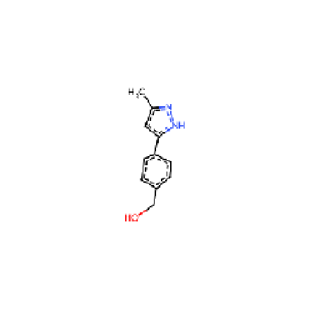 Cc1cc(-c2ccc(CO)cc2)[nH]n1